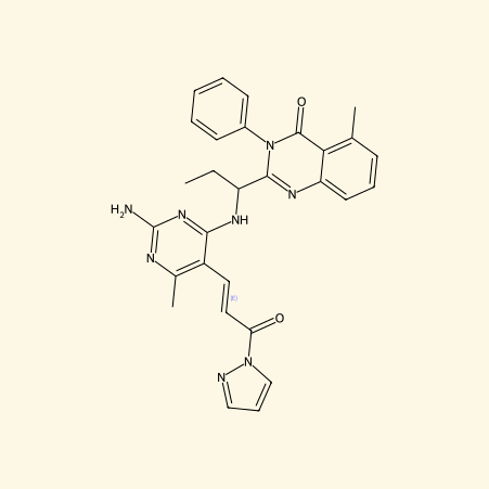 CCC(Nc1nc(N)nc(C)c1/C=C/C(=O)n1cccn1)c1nc2cccc(C)c2c(=O)n1-c1ccccc1